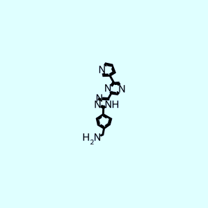 NCc1ccc(-c2nnc(-c3cncc(-c4cccnc4)n3)[nH]2)cc1